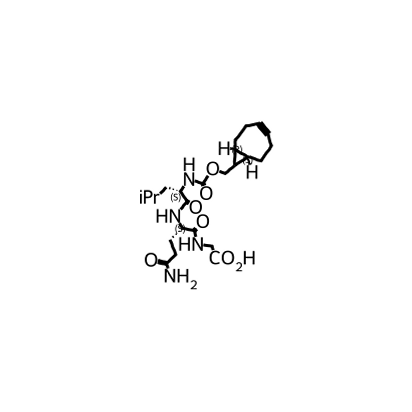 CC(C)C[C@H](NC(=O)OCC1[C@H]2CCC#CCC[C@@H]12)C(=O)N[C@@H](CCC(N)=O)C(=O)NCC(=O)O